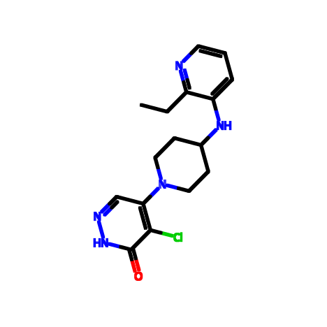 CCc1ncccc1NC1CCN(c2cn[nH]c(=O)c2Cl)CC1